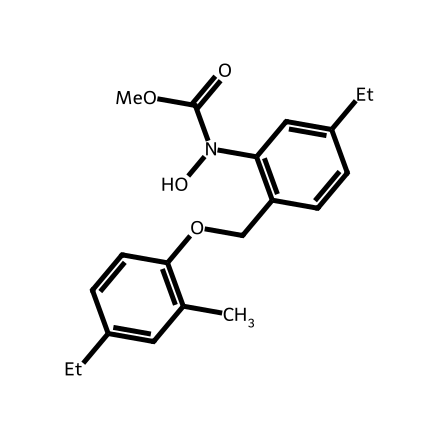 CCc1ccc(OCc2ccc(CC)cc2N(O)C(=O)OC)c(C)c1